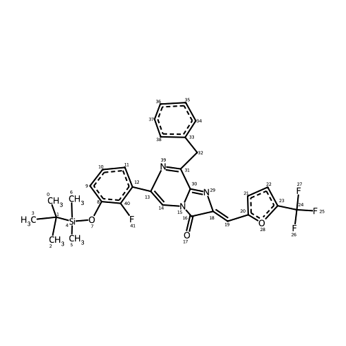 CC(C)(C)[Si](C)(C)Oc1cccc(C2=CN3C(=O)/C(=C/c4ccc(C(F)(F)F)o4)N=C3C(Cc3ccccc3)=N2)c1F